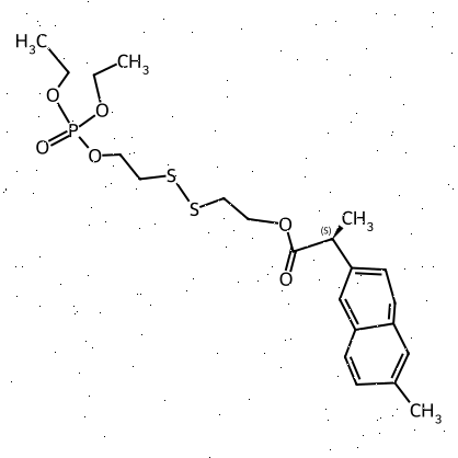 CCOP(=O)(OCC)OCCSSCCOC(=O)[C@@H](C)c1ccc2cc(C)ccc2c1